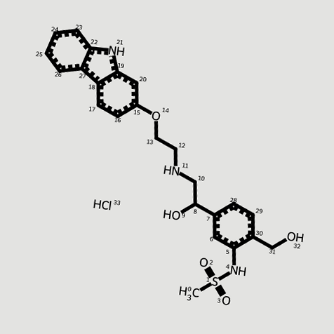 CS(=O)(=O)Nc1cc(C(O)CNCCOc2ccc3c(c2)[nH]c2ccccc23)ccc1CO.Cl